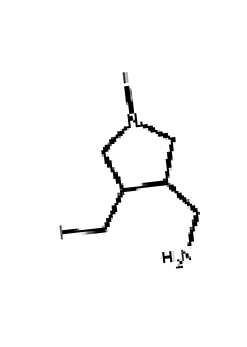 NCC1CN(I)CC1CI